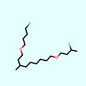 [CH2]C(CCCCCCOCCC(C)F)CCOCCCCF